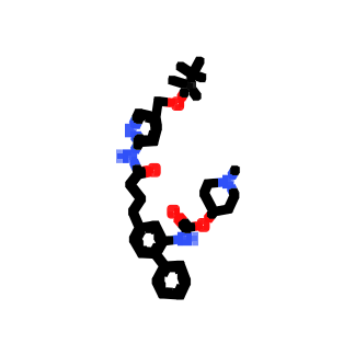 CN1CCC(OC(=O)Nc2cc(CCCC(=O)Nc3ccc(CO[Si](C)(C)C(C)(C)C)cn3)ccc2-c2ccccc2)CC1